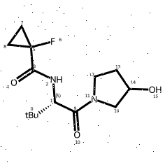 CC(C)(C)[C@H](NC(=O)C1(F)CC1)C(=O)N1CCC(O)C1